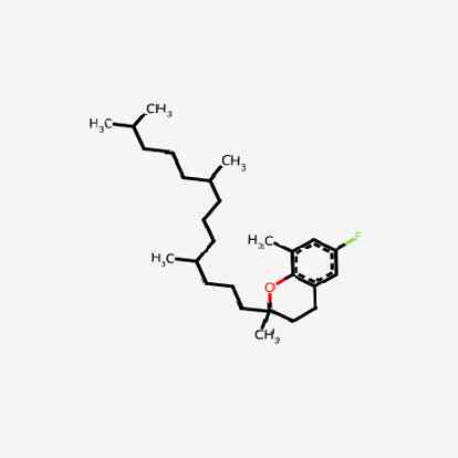 Cc1cc(F)cc2c1OC(C)(CCCC(C)CCCC(C)CCCC(C)C)CC2